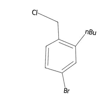 CCCCc1cc(Br)ccc1CCl